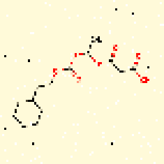 CC(OC(=O)CC(=O)O)OC(=O)OCCC1CCCCC1